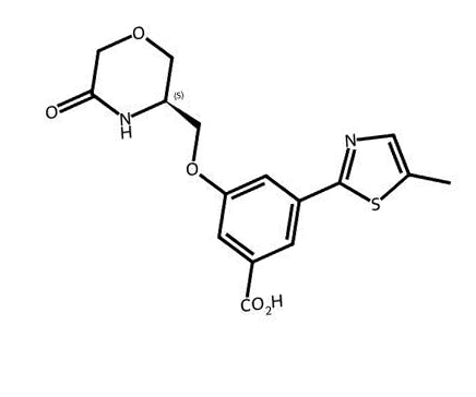 Cc1cnc(-c2cc(OC[C@@H]3COCC(=O)N3)cc(C(=O)O)c2)s1